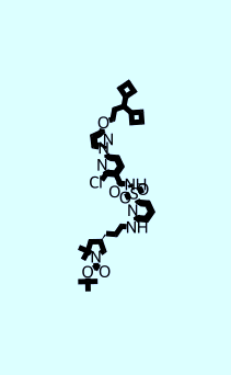 CC(C)(C)OC(=O)N1C[C@@H](CCCNc2cccc(S(=O)(=O)NC(=O)c3ccc(-n4ccc(OCCC(C5CCC5)C5CCC5)n4)nc3Cl)n2)CC1(C)C